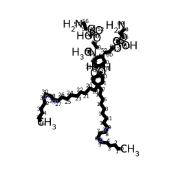 CCCCC/C=C\C/C=C\CCCCCCCCC1(CCCCCCCC/C=C\C/C=C\CCCCC)CCC2(CC1)O[C@H]1CC(N(C)CCOP(=O)(O)OCCN)[C@@H](CCCOP(=O)(O)OCCN)C[C@@H]1O2